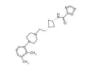 Cc1cccc(N2CCN(CC[C@H]3C[C@@H](NC(=O)c4ncco4)C3)CC2)c1C